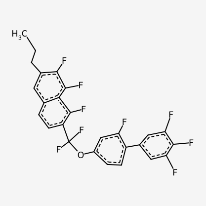 CCCc1cc2ccc(C(F)(F)Oc3ccc(-c4cc(F)c(F)c(F)c4)c(F)c3)c(F)c2c(F)c1F